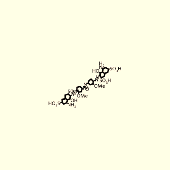 COc1cc(/N=[N+](\[O-])c2ccc(/N=N/c3c(S(=O)(=O)O)cc4cc(S(=O)(=O)O)cc(N)c4c3O)c(OC)c2)ccc1/N=N/c1c(S(=O)(=O)O)cc2cc(S(=O)(=O)O)cc(N)c2c1O